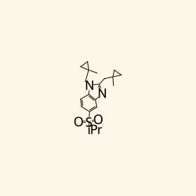 CC(C)S(=O)(=O)c1ccc2c(c1)nc(CC1(C)CC1)n2CC1(C)CC1